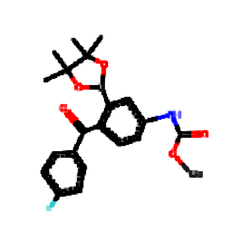 CC(C)(C)OC(=O)Nc1ccc(C(=O)c2ccc(F)cc2)c(B2OC(C)(C)C(C)(C)O2)c1